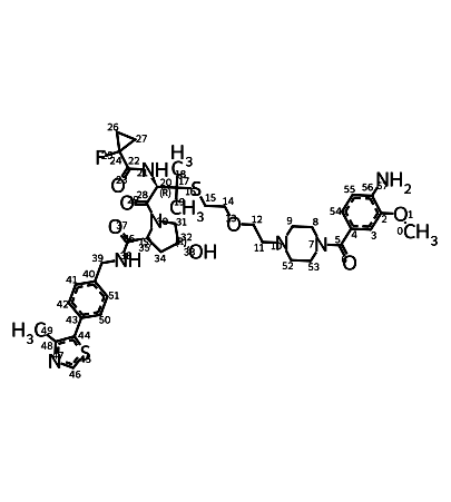 COc1cc(C(=O)N2CCN(CCOCCSC(C)(C)[C@H](NC(=O)C3(F)CC3)C(=O)N3C[C@H](O)C[C@H]3C(=O)NCc3ccc(-c4scnc4C)cc3)CC2)ccc1N